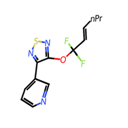 CCCC=CC(F)(F)Oc1nsnc1-c1cccnc1